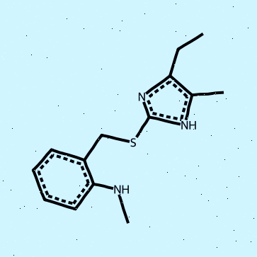 CCc1nc(SCc2ccccc2NC)[nH]c1C